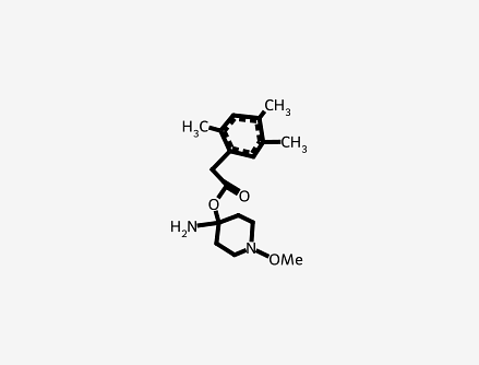 CON1CCC(N)(OC(=O)Cc2cc(C)c(C)cc2C)CC1